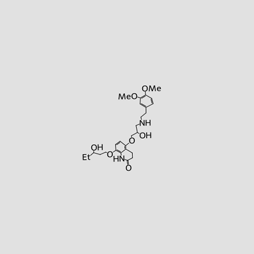 CCC(O)CCOc1ccc(OCC(O)CNCCc2ccc(OC)c(OC)c2)c2c1NC(=O)CC2